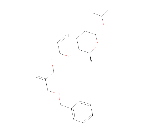 C=C[C@@H](OCC(=C)COCc1ccccc1)O[C@@H]1CC[C@H](OC(C)C)O[C@H]1C